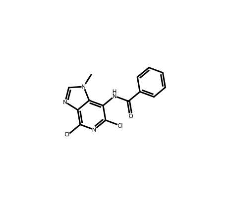 Cn1cnc2c(Cl)nc(Cl)c(NC(=O)c3ccccc3)c21